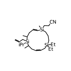 C=CC[Si]1(C(C)C)C(C)C/C=C\C[Si](CC)(CC)CCC[Si](C)(CCC#N)/C=C/CC1C